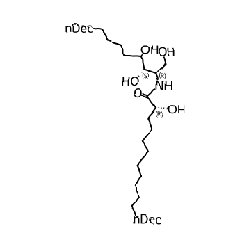 CCCCCCCCCCCCCCCCCCC[C@@H](O)C(=O)N[C@H](CO)[C@H](O)C(O)CCCCCCCCCCCCCC